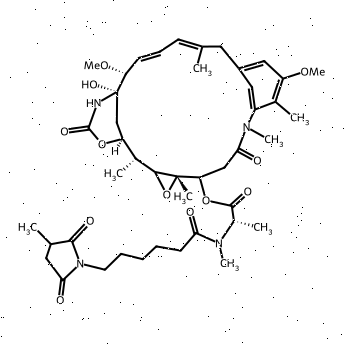 COc1cc2cc(c1C)N(C)C(=O)CC(OC(=O)[C@H](C)N(C)C(=O)CCCCCN1C(=O)CC(C)C1=O)[C@]1(C)OC1[C@H](C)[C@@H]1C[C@@](O)(NC(=O)O1)[C@H](OC)/C=C/C=C(\C)C2